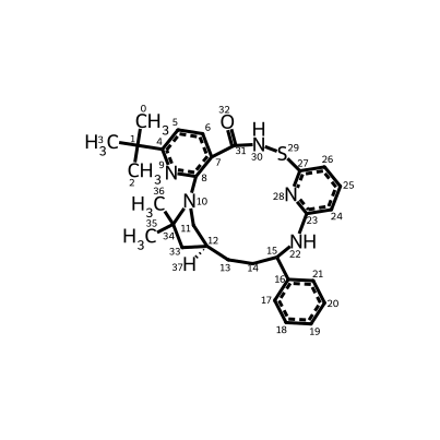 CC(C)(C)c1ccc2c(n1)N1C[C@@H](CCC(c3ccccc3)Nc3cccc(n3)SNC2=O)CC1(C)C